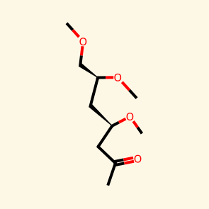 COC[C@H](C[C@H](CC(C)=O)OC)OC